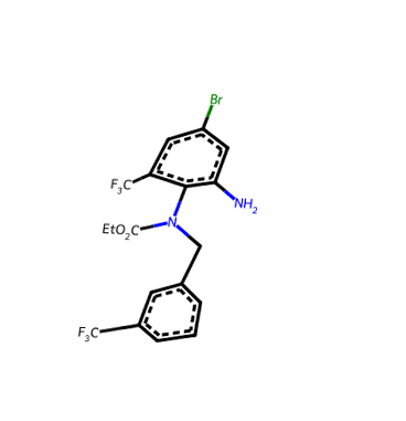 CCOC(=O)N(Cc1cccc(C(F)(F)F)c1)c1c(N)cc(Br)cc1C(F)(F)F